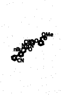 CCCCc1nc(C)n(-c2ncc(Oc3ccccc3CC(=O)OC)cn2)c(=O)c1Cc1ccc(-c2ccccc2C#N)cc1